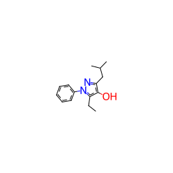 CCc1c(O)c(CC(C)C)nn1-c1ccccc1